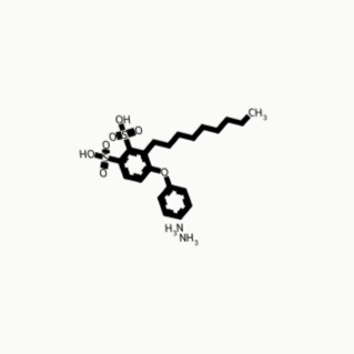 CCCCCCCCCc1c(Oc2ccccc2)ccc(S(=O)(=O)O)c1S(=O)(=O)O.N.N